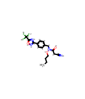 CCCCON(Cc1ccc(-c2noc(C(F)(F)F)n2)cc1)C(=O)CC#N